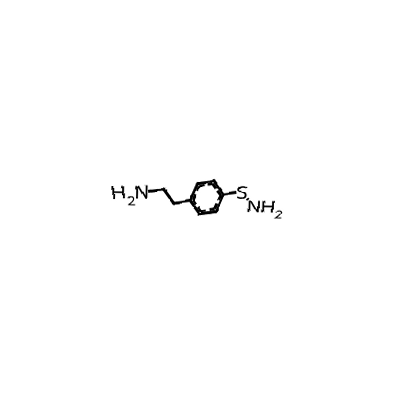 NCCc1ccc(SN)cc1